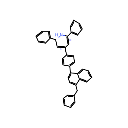 N/C(=C\C(=C/Cc1ccccc1)c1ccc(-c2ccc(Cc3ccccc3)c3ccccc23)cc1)c1ccccc1